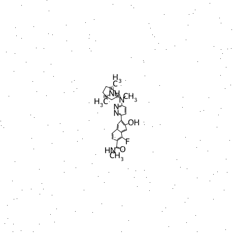 CNC(=O)c1ccc2cc(-c3ccc(N(C)[C@H]4C[C@]5(C)CC[C@](C)(C4)N5)nn3)c(O)cc2c1F